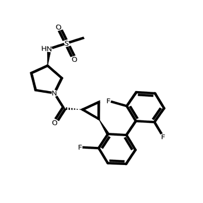 CS(=O)(=O)N[C@@H]1CCN(C(=O)[C@@H]2C[C@H]2c2c(F)cccc2-c2c(F)cccc2F)C1